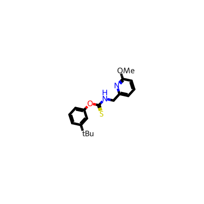 COc1cccc(CNC(=S)Oc2cccc(C(C)(C)C)c2)n1